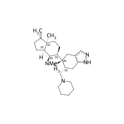 C=C1CC[C@@H]2[C@H](NC)[C@H]([C@]3(C)Cc4cn[nH]c4C[C@@H]3CN3CCCCC3)CC[C@]12C